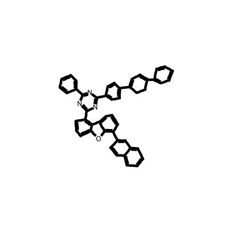 C1=C(c2ccccc2)CCC(c2ccc(-c3nc(-c4ccccc4)nc(-c4cccc5oc6c(-c7ccc8ccccc8c7)cccc6c45)n3)cc2)=C1